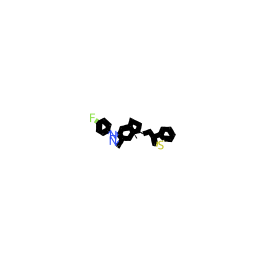 C[C@]12Cc3cnn(-c4ccc(F)cc4)c3C=C1CC[C@@H]2CCc1csc2ccccc12